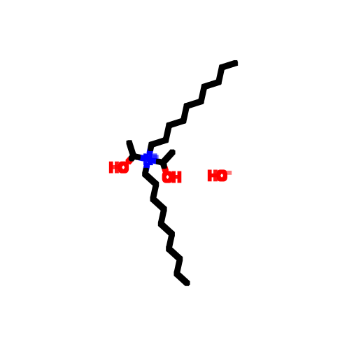 CCCCCCCCCC[N+](CCCCCCCCCC)(C(C)O)C(C)O.[OH-]